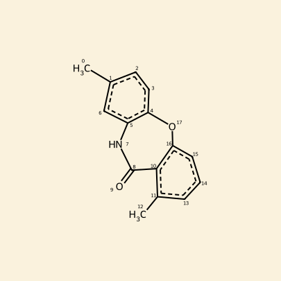 Cc1ccc2c(c1)NC(=O)c1c(C)cccc1O2